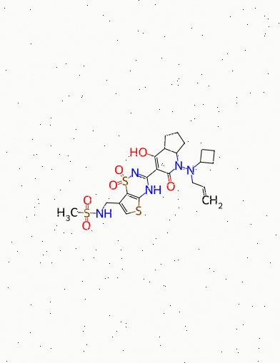 C=CCN(C1CCC1)N1C(=O)C(C2=NS(=O)(=O)c3c(CNS(C)(=O)=O)csc3N2)=C(O)C2CCCC21